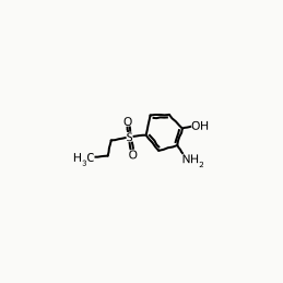 CCCS(=O)(=O)c1ccc(O)c(N)c1